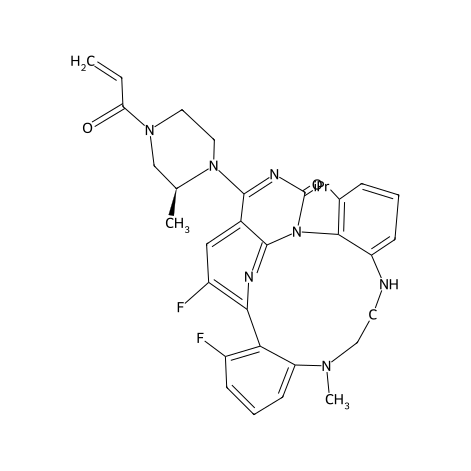 C=CC(=O)N1CCN(c2nc(=O)n3c4nc(c(F)cc24)-c2c(F)cccc2N(C)CCNc2cccc(C(C)C)c2-3)[C@@H](C)C1